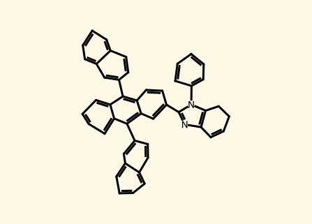 C1=Cc2nc(-c3ccc4c(-c5ccc6ccccc6c5)c5ccccc5c(-c5ccc6ccccc6c5)c4c3)n(-c3ccccc3)c2CC1